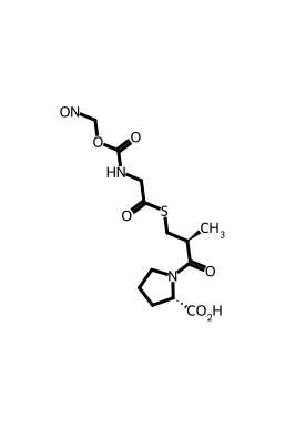 C[C@H](CSC(=O)CNC(=O)OCN=O)C(=O)N1CCC[C@H]1C(=O)O